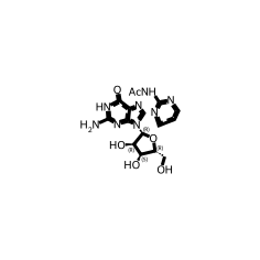 CC(=O)Nc1ncccn1.Nc1nc2c(ncn2[C@@H]2O[C@H](CO)[C@@H](O)[C@H]2O)c(=O)[nH]1